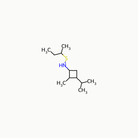 CCC(C)SNC1CC(C(C)C)C1C